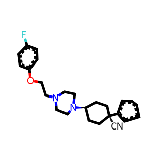 N#C[C@]1(c2ccccc2)CC[C@H](N2CCN(CCOc3ccc(F)cc3)CC2)CC1